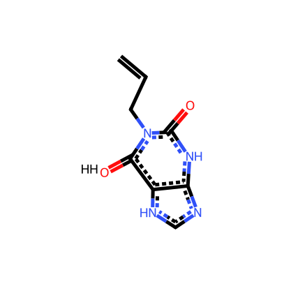 C=CCn1c(=O)[nH]c2nc[nH]c2c1=O.[HH]